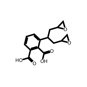 O=C(O)c1cccc(C(CC2CO2)CC2CO2)c1C(=O)O